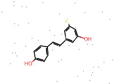 Oc1ccc(C=Cc2cc(O)cc(F)c2)cc1